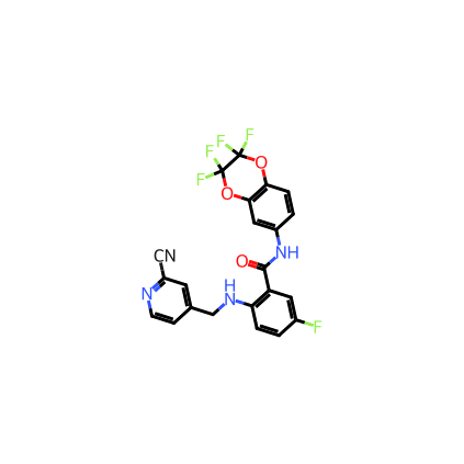 N#Cc1cc(CNc2ccc(F)cc2C(=O)Nc2ccc3c(c2)OC(F)(F)C(F)(F)O3)ccn1